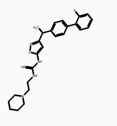 CC(c1ccc(-c2ccccc2F)cc1)c1cc(NC(=N)NCCN2CCCCC2)on1